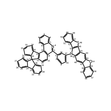 c1cc(-c2nc3ccccc3c3c4c(ccc23)C2(c3ccccc3-c3ccccc32)c2ccccc2-4)cc(-n2c3cc4c(cc3c3sc5ccccc5c32)oc2ccccc24)c1